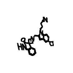 N#CCCCn1c(CN2CC3(C2)C(=O)Nc2ccccc23)cc2cc(Cl)ccc21